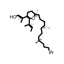 C/C=C(\C)C1=C(/C(C)=C/O)CC[C@@](C)(CCC[C@H](C)CCC[C@H](C)CCCC(C)C)O1